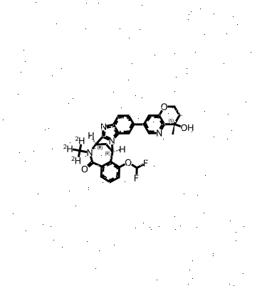 [2H]C([2H])([2H])N1C(=O)c2cccc(OC(F)F)c2[C@H]2C[C@@H]1c1nc3ccc(-c4cnc5c(c4)OCC[C@]5(C)O)cc3n12